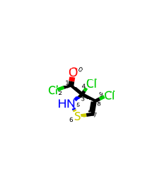 O=C(Cl)C1(Cl)NSC=C1Cl